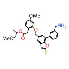 COCC(C)OC(=O)Cc1ccc(OC)cc1OCc1cc(-c2cccc(CN)c2)c2oc(F)cc2c1